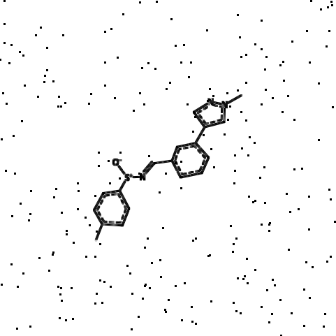 Cc1ccc([S+]([O-])/N=C/c2cccc(-c3cnn(C)c3)c2)cc1